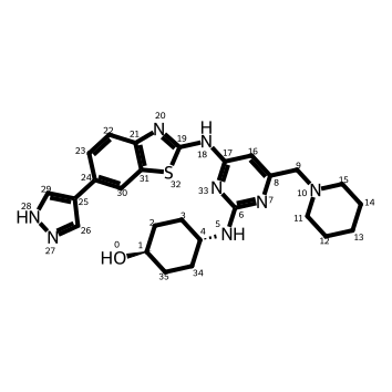 O[C@H]1CC[C@H](Nc2nc(CN3CCCCC3)cc(Nc3nc4ccc(-c5cn[nH]c5)cc4s3)n2)CC1